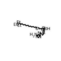 CCS(CC)(CC)CCCCCCCCCCCCCOCCCOP(=O)(O)CO[C@H](C)Cn1cnc2c(N)ncnc21